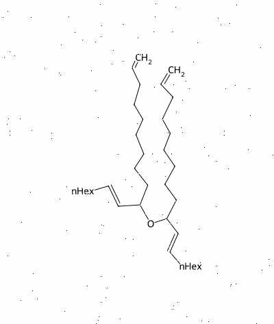 C=CCCCCCCCC(C=CCCCCCC)OC(C=CCCCCCC)CCCCCCCC=C